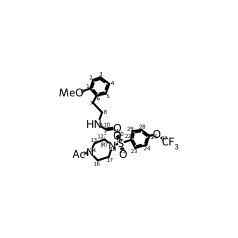 COc1ccccc1CCNC(=O)[C@H]1CN(C(C)=O)CCN1S(=O)(=O)c1ccc(OC(F)(F)F)cc1